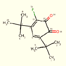 CC(C)(C)C1=CC(C(C)(C)C)=C(F)C(=O)C1=O